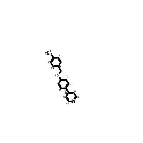 CC(C)(C)c1ccc(CSc2ccc(-c3ccncc3)cc2)cc1